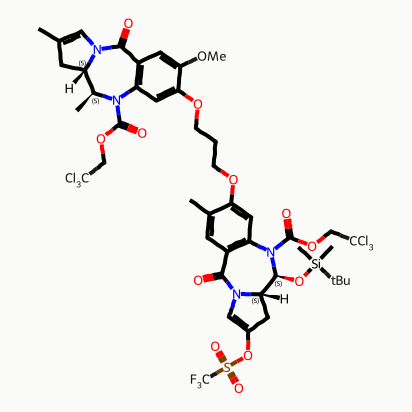 COc1cc2c(cc1OCCCOc1cc3c(cc1C)C(=O)N1C=C(OS(=O)(=O)C(F)(F)F)C[C@H]1[C@H](O[Si](C)(C)C(C)(C)C)N3C(=O)OCC(Cl)(Cl)Cl)N(C(=O)OCC(Cl)(Cl)Cl)[C@@H](C)[C@@H]1CC(C)=CN1C2=O